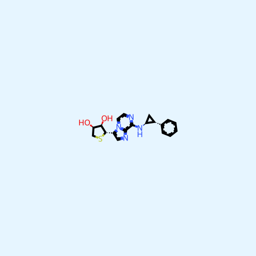 O[C@@H]1[C@H](O)CS[C@H]1c1cnc2c(N[C@@H]3C[C@@H]3c3ccccc3)nccn12